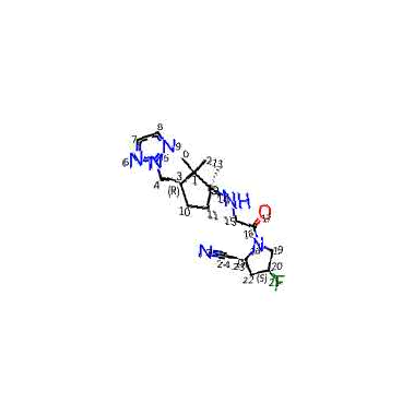 CC1(C)[C@H](Cn2nccn2)CC[C@]1(C)NCC(=O)N1C[C@@H](F)C[C@H]1C#N